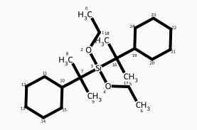 CCO[Si](OCC)(C(C)(C)C1CCCCC1)C(C)(C)C1CCCCC1